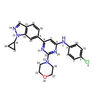 Clc1ccc(Nc2cc(-c3ccc4cnn(C5CC5)c4c3)nc(N3CCOCC3)n2)cc1